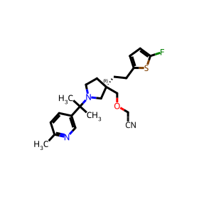 Cc1ccc(C(C)(C)N2CC[C@@](CCc3ccc(F)s3)(COCC#N)C2)cn1